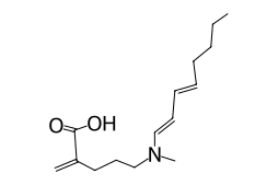 C=C(CCCN(C)C=CC=CCCCC)C(=O)O